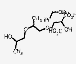 CC(C)COCC(C)C.CC(O)COC(C)CO.O=C(O)CC(O)C(=O)O